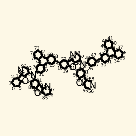 c1ccc2c(c1)oc1c(N(c3ccc4c5cc(-c6ccc7oc8c(N(c9ccc(-c%10ccc%11c%12ccccc%12c%12ccccc%12c%11c%10)cc9)c9ccc%10oc%11ccncc%11c%10c9)ccnc8c7c6)ccc5c5ccccc5c4c3)c3ccc4oc5cccnc5c4c3)ccnc12